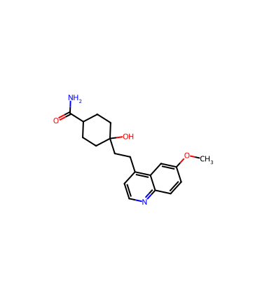 COc1ccc2nccc(CCC3(O)CCC(C(N)=O)CC3)c2c1